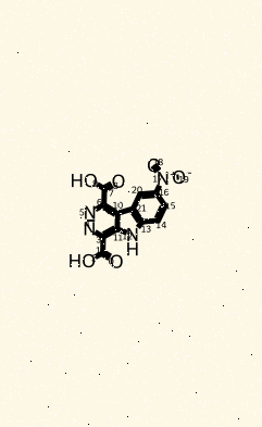 O=C(O)c1nnc(C(=O)O)c2c1[nH]c1ccc([N+](=O)[O-])cc12